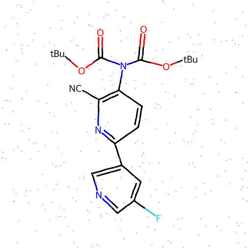 CC(C)(C)OC(=O)N(C(=O)OC(C)(C)C)c1ccc(-c2cncc(F)c2)nc1C#N